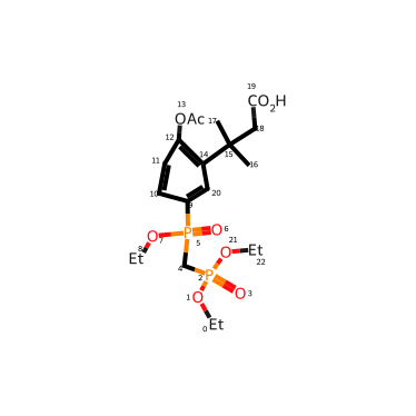 CCOP(=O)(CP(=O)(OCC)c1ccc(OC(C)=O)c(C(C)(C)CC(=O)O)c1)OCC